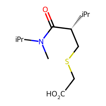 CC(C)[C@H](CSCC(=O)O)C(=O)N(C)C(C)C